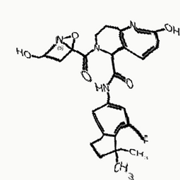 CC1(C)CCc2cc(NC(=O)C3c4ccc(O)nc4CCN3C(=O)C34CC(O)[N@@]3O4)cc(F)c21